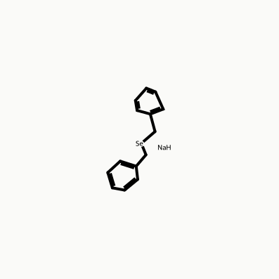 [NaH].c1ccc(C[Se]Cc2ccccc2)cc1